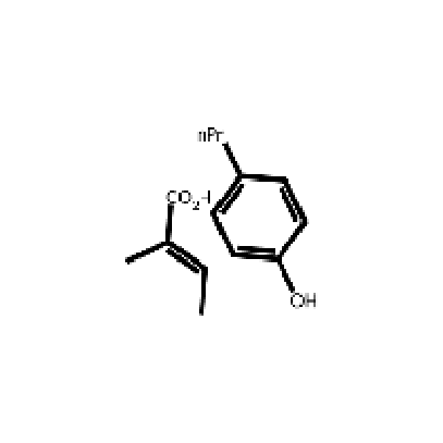 CC=C(C)C(=O)O.CCCc1ccc(O)cc1